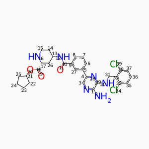 Nc1ncc(-c2cccc(C(=O)NC3CCN[C@@H](C(=O)OC4CCCC4)C3)c2)nc1NCc1c(Cl)cccc1Cl